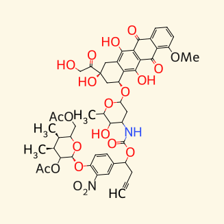 C#CCC(OC(=O)NC1CC(O[C@H]2C[C@](O)(C(=O)CO)Cc3c(O)c4c(c(O)c32)C(=O)c2c(OC)cccc2C4=O)OC(C)C1O)c1ccc(O[C@@H]2OC(COC(C)=O)[C@H](C)[C@H](C)C2OC(C)=O)c([N+](=O)[O-])c1